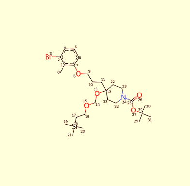 Cc1c(Br)cccc1OCCCC1(OCOCC[Si](C)(C)C)CCN(C(=O)OC(C)(C)C)CC1